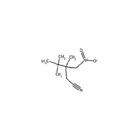 CC(C)(C)C(C)(CC#N)C[N+](=O)[O-]